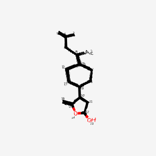 C=C(C)CC(C(C)=O)C1CCC(C2CC(O)OC2=C)CC1